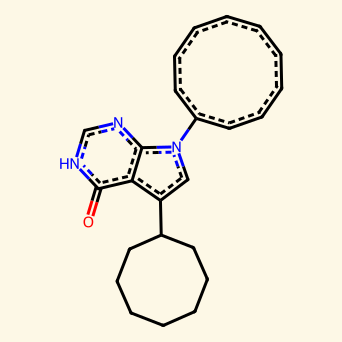 O=c1[nH]cnc2c1c(C1CCCCCCC1)cn2-c1ccccccccc1